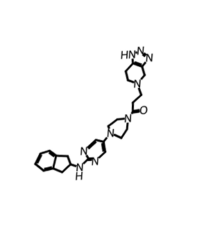 O=C(CCN1CCc2[nH]nnc2C1)N1CCN(c2cnc(NC3Cc4ccccc4C3)nc2)CC1